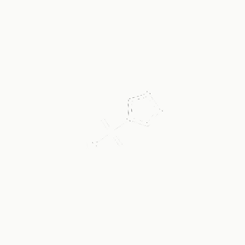 NS(=O)(=O)n1cnnc1